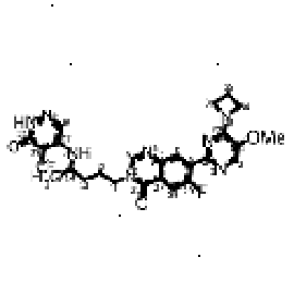 COc1cnc(-c2cc3ncn(CCCC(C)Nc4cn[nH]c(=O)c4C(F)(F)F)c(=O)c3cc2F)nc1N1CCC1